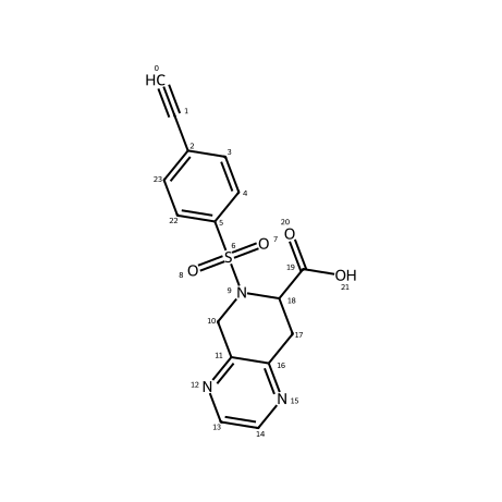 C#Cc1ccc(S(=O)(=O)N2Cc3nccnc3CC2C(=O)O)cc1